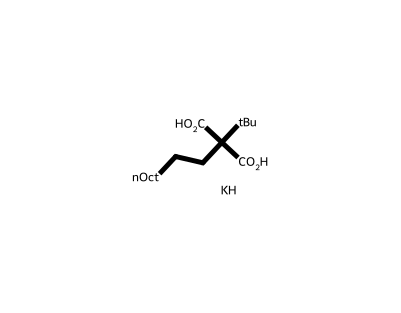 CCCCCCCCCCC(C(=O)O)(C(=O)O)C(C)(C)C.[KH]